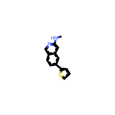 CNc1cc2cc(-c3cccs3)ccc2cn1